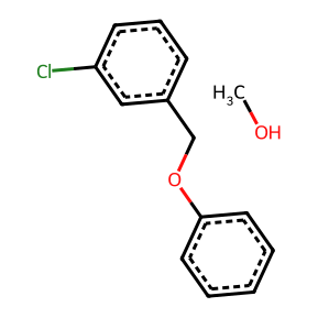 CO.Clc1cccc(COc2ccccc2)c1